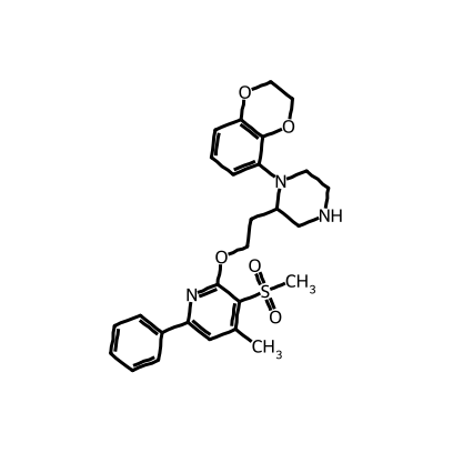 Cc1cc(-c2ccccc2)nc(OCCC2CNCCN2c2cccc3c2OCCO3)c1S(C)(=O)=O